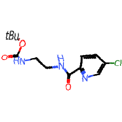 CC(C)(C)OC(=O)NCCNC(=O)c1ccc(Cl)cn1